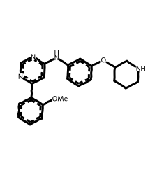 COc1ccccc1-c1cc(Nc2cccc(OC3CCCNC3)c2)ncn1